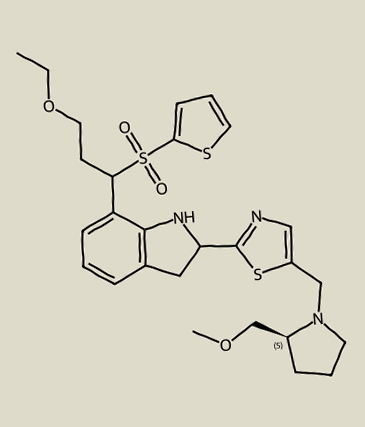 CCOCCC(c1cccc2c1NC(c1ncc(CN3CCC[C@H]3COC)s1)C2)S(=O)(=O)c1cccs1